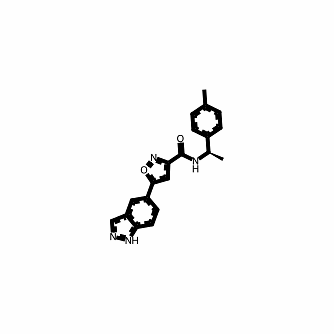 Cc1ccc([C@@H](C)NC(=O)c2cc(-c3ccc4[nH]ncc4c3)on2)cc1